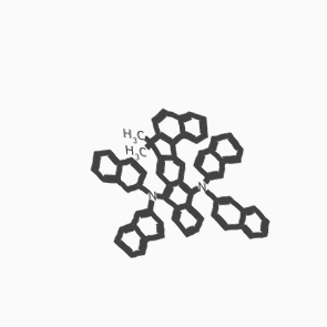 CC1(C)c2cc3c(N(c4ccc5ccccc5c4)C4C=Cc5ccccc5C4)c4ccccc4c(N(c4ccc5ccccc5c4)c4ccc5ccccc5c4)c3cc2-c2c1ccc1ccccc21